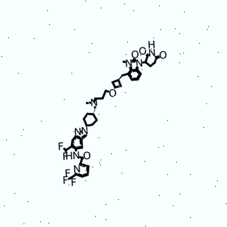 CN(CCCO[C@H]1C[C@H](Cc2cccc3c2n(C)c(=O)n3C2CCC(=O)NC2=O)C1)C[C@H]1CC[C@H](n2cc3cc(NC(=O)c4cccc(C(F)(F)F)n4)c(C(F)F)cc3n2)CC1